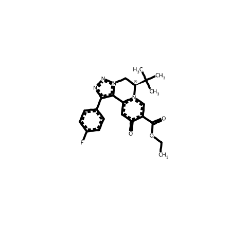 CCOC(=O)c1cn2c(cc1=O)-c1c(-c3ccc(F)cc3)nnn1C[C@H]2C(C)(C)C